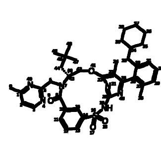 Cc1ccnc(CN2C(=O)c3cccc(c3)S(=O)(=O)Nc3nc(c(C)c(-c4c(C)cccc4CC4CCCCC4)n3)OC[C@H]2CC(C)(C)C)n1